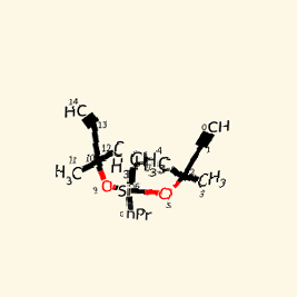 C#CC(C)(C)O[Si](C)(CCC)OC(C)(C)C#C